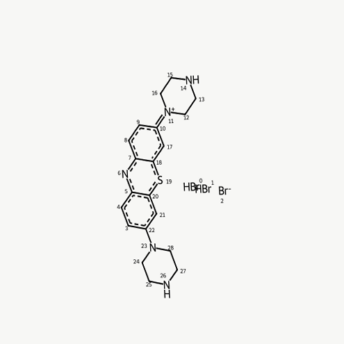 Br.Br.[Br-].c1cc2nc3ccc(=[N+]4CCNCC4)cc-3sc2cc1N1CCNCC1